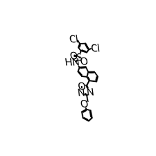 O=S(=O)(Nc1ccc2c(-c3nc(COc4ccccc4)no3)cccc2c1)c1cc(Cl)cc(Cl)c1